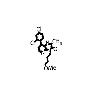 COCCCCn1c(=O)c(C)nc2c(-c3ccc(Cl)cc3Cl)ccnc21